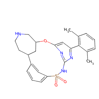 Cc1cccc(C)c1-c1cc2nc(n1)NS(=O)(=O)c1cccc(c1)C1CCNCC(C1)O2